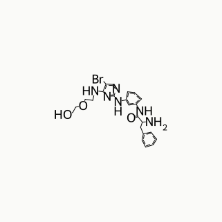 NC(Cc1ccccc1)C(=O)Nc1cccc(Nc2ncc(Br)c(NCCOCCO)n2)c1